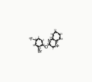 Fc1ccc(Oc2cnc3ccccc3n2)c(Br)c1